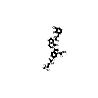 CP(=O)(O)CCNC(=O)Oc1ccc2c(N3CCN4CC[C@@H](C(=O)NCc5cccc(Cl)c5F)N4C3=O)cn(C(N)=O)c2c1